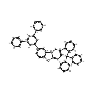 C1=C2Oc3ccc(-c4nc(-c5ccccc5)nc(-c5ccccc5)n4)cc3C2CC2=C1C(c1ccccc1)(c1ccccc1)c1ccccc12